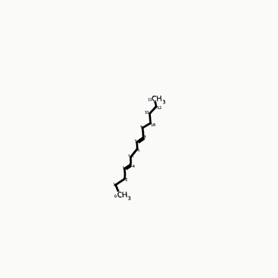 CCCC=C[CH]CC=CCCCCC